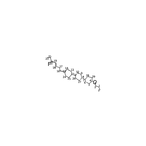 CCCOC1CCC(C2CCC([C@H]3CC[C@H](CC/C=C/C(F)CC)CC3)CC2)CC1